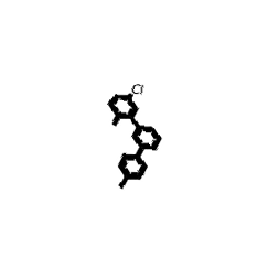 Cc1ccc(-c2cccc(-c3cc(Cl)ccc3C)c2)cc1